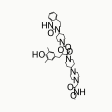 CONC(=O)CN1CCN(C2CCN(C(=O)C(Cc3cc(C)c(O)c(C)c3)OC(=O)N3CCC(N4CCc5ccccc5NC4=O)CC3)CC2)CC1